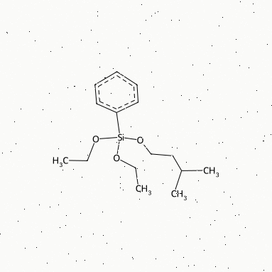 CCO[Si](OCC)(OCCC(C)C)c1ccccc1